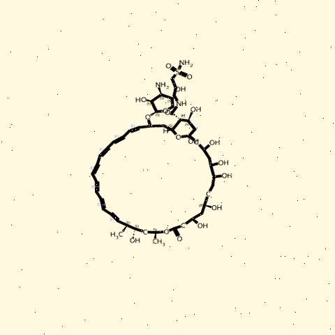 C[C@H]1C[C@H](O)[C@@H](C)/C=C/C=C/C=C/C=C/C=C/C=C/C=C/C(O[C@@H]2OC[C@@H](O)[C@H](N)[C@@H]2O)C[C@@H]2OC(O)(CC(O)CC(O)C(O)CC[C@@H](O)CC(O)CC(=O)O1)C[C@H](O)[C@H]2C(=O)NCCCS(N)(=O)=O